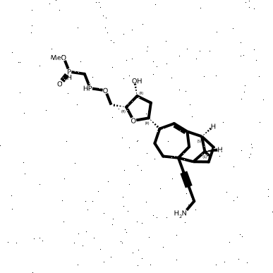 CO[PH](=O)CPOC[C@H]1O[C@@H](C2C=C3CC(C#CCN)(CC2)C2CC[C@H]3[C@@H]2C)C[C@H]1O